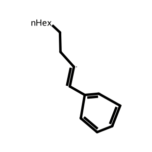 CCCCCCCC[C]=Cc1ccccc1